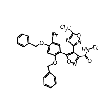 CCNC(=O)c1noc(-c2cc(C(C)C)c(OCc3ccccc3)cc2OCc2ccccc2)c1-c1noc(C(Cl)(Cl)Cl)n1